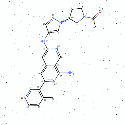 CC(=O)N1CC[C@H](n2cc(Nc3cc4cc(-c5cnccc5C)nc(N)c4cn3)cn2)C1